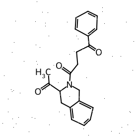 CC(=O)C1Cc2ccccc2CN1C(=O)CCC(=O)c1ccccc1